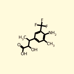 Cc1cc(C(C)C(O)C(=O)O)cc(C(F)(F)F)c1N